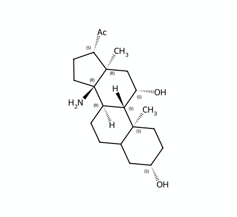 CC(=O)[C@H]1CC[C@@]2(N)[C@@H]3CCC4C[C@@H](O)CC[C@]4(C)[C@H]3[C@@H](O)C[C@]12C